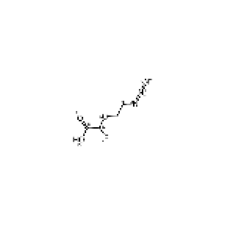 [N-]=[N+]=NCCOC(F)C(=O)O